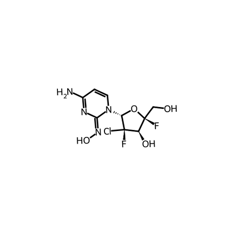 Nc1ccn([C@@H]2O[C@](F)(CO)[C@@H](O)[C@]2(F)Cl)/c(=N/O)n1